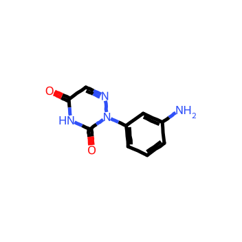 Nc1cccc(-n2ncc(=O)[nH]c2=O)c1